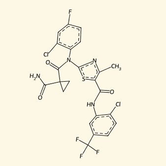 Cc1nc(N(C(=O)C2(C(N)=O)CC2)c2ccc(F)cc2Cl)sc1C(=O)Nc1cc(C(F)(F)F)ccc1Cl